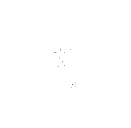 CC(CCCn1ccc2cc(-c3nc(N)c(C(F)(F)F)cc3C#N)c(F)cc2c1=O)Nc1cn[nH]c(=O)c1C(F)(F)F